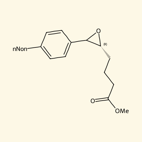 CCCCCCCCCc1ccc(C2O[C@@H]2CCCC(=O)OC)cc1